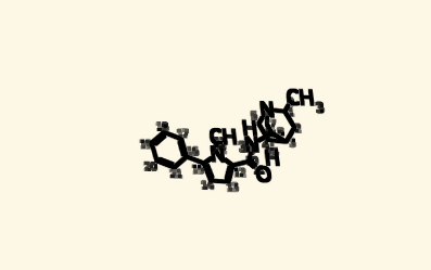 CC1CC2CCN1C[C@@H]2NC(=O)c1ccc(-c2ccccc2)n1C